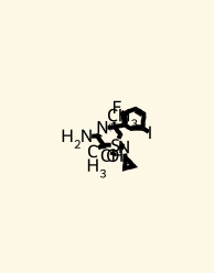 CC1(C)C(N)=N[C@](C)(c2cc(I)ccc2F)CS1(=O)=NC1CC1